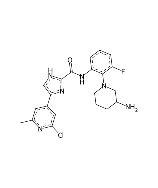 Cc1cc(-c2c[nH]c(C(=O)Nc3cccc(F)c3N3CCCC(N)C3)n2)cc(Cl)n1